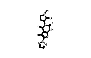 Cc1c(-n2nccn2)sc2[nH]c(=O)n(C3CCN(C(C)C)C3=O)c(=O)c12